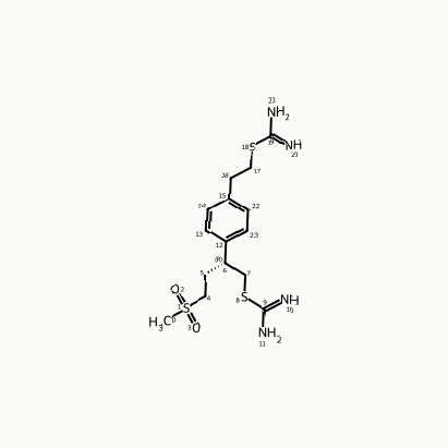 CS(=O)(=O)CC[C@@H](CSC(=N)N)c1ccc(CCSC(=N)N)cc1